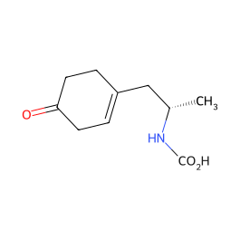 C[C@@H](CC1=CCC(=O)CC1)NC(=O)O